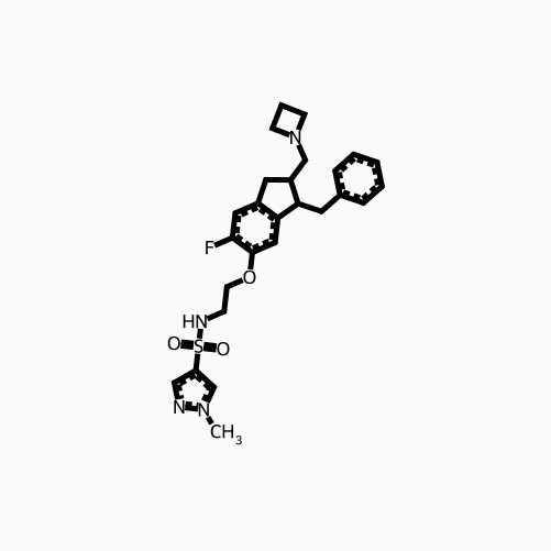 Cn1cc(S(=O)(=O)NCCOc2cc3c(cc2F)CC(CN2CCC2)C3Cc2ccccc2)cn1